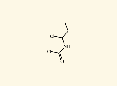 CCC(Cl)NC(=O)Cl